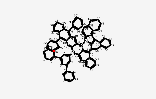 c1ccc(-c2cc(-c3ccccc3)cc(N3c4cc5c(-c6ccccc6)c6ccccc6c(-c6ccccc6)c5cc4B4c5c3cc3ccccc3c5-c3cc5ccccc5c5c6c7ccccc7ccc6n4c35)c2)cc1